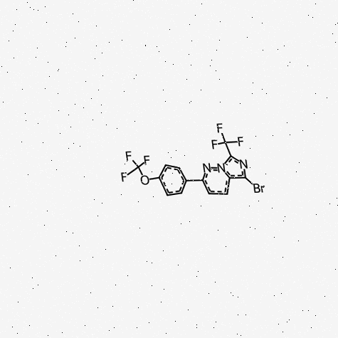 FC(F)(F)Oc1ccc(-c2ccc3c(Br)nc(C(F)(F)F)n3n2)cc1